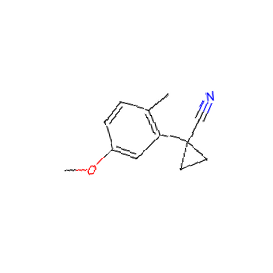 COc1ccc(C)c(C2(C#N)CC2)c1